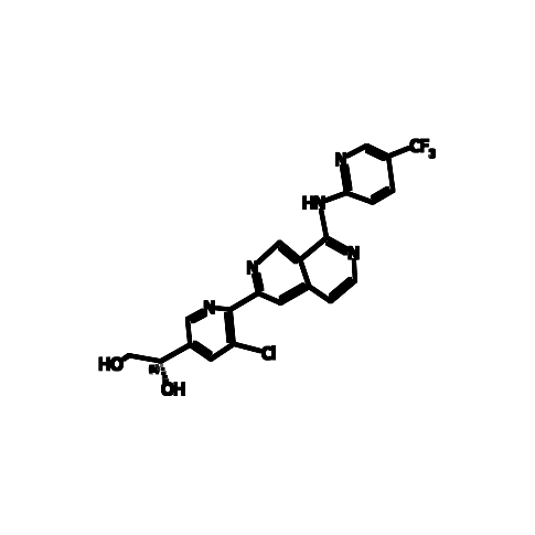 OC[C@@H](O)c1cnc(-c2cc3ccnc(Nc4ccc(C(F)(F)F)cn4)c3cn2)c(Cl)c1